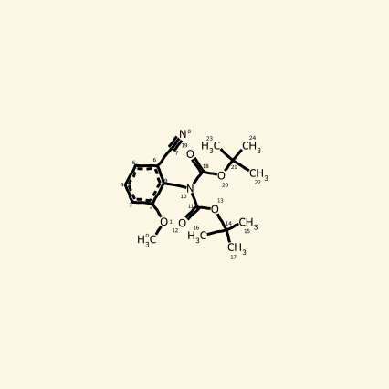 COc1cccc(C#N)c1N(C(=O)OC(C)(C)C)C(=O)OC(C)(C)C